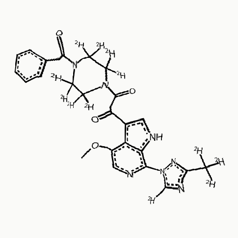 [2H]c1nc(C([2H])([2H])[2H])nn1-c1ncc(OC)c2c(C(=O)C(=O)N3C([2H])([2H])C([2H])([2H])N(C(=O)c4ccccc4)C([2H])([2H])C3([2H])[2H])c[nH]c12